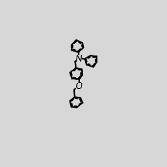 c1ccc(COc2ccc(CN(c3ccccc3)c3ccccc3)cc2)cc1